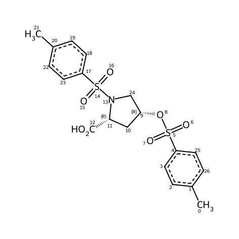 Cc1ccc(S(=O)(=O)O[C@@H]2C[C@H](C(=O)O)N(S(=O)(=O)c3ccc(C)cc3)C2)cc1